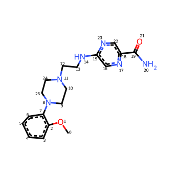 COc1ccccc1N1CCN(CCNc2cnc(C(N)=O)cn2)CC1